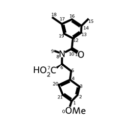 COc1ccc(C[C@@H](C(=O)O)N(C)C(=O)c2cc(C)cc(C)c2)cc1